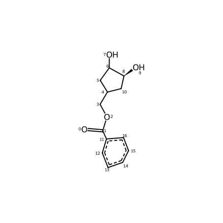 O=C(OCC1CC(O)[C@@H](O)C1)c1ccccc1